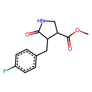 COC(=O)C1CNC(=O)C1Cc1ccc(F)cc1